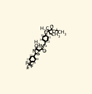 CCOC(=O)C(C)(CC)Oc1ccc(CNC(=O)c2sc(-c3ccc(C(F)(F)F)cc3)nc2C)cc1